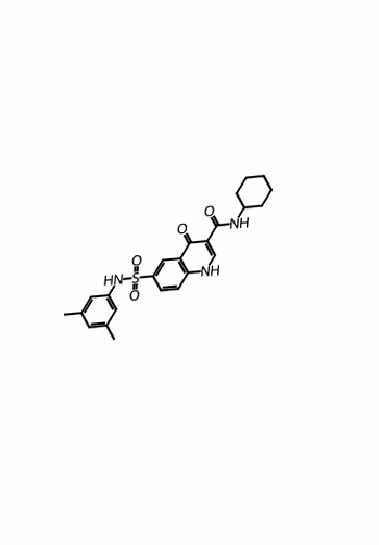 Cc1cc(C)cc(NS(=O)(=O)c2ccc3[nH]cc(C(=O)NC4CCCCC4)c(=O)c3c2)c1